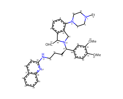 CCN1CCN(c2cccc3c2CN([C@H](CCCNc2ccc4ccccc4n2)c2ccc(OC)c(OC)c2)C3C=O)CC1